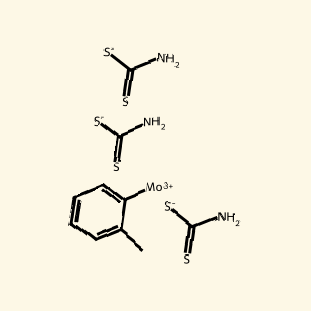 Cc1cccc[c]1[Mo+3].NC(=S)[S-].NC(=S)[S-].NC(=S)[S-]